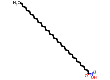 CCCCCCCCCCCCCCCCCCCCCCCCCCCCCCCCCCCCC(=O)N(O)Cl